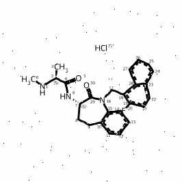 CN[C@@H](C)C(=O)N[C@H]1CCc2ccccc2N(Cc2c(F)ccc3ccccc23)C1=O.Cl